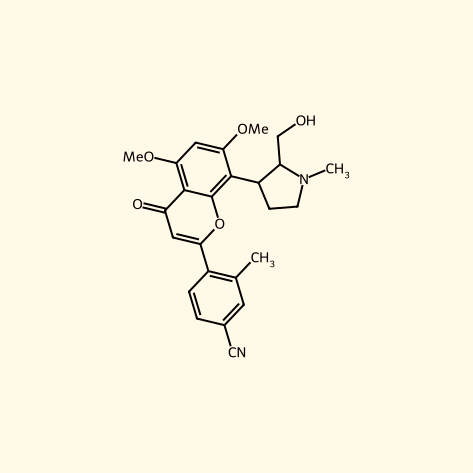 COc1cc(OC)c2c(=O)cc(-c3ccc(C#N)cc3C)oc2c1C1CCN(C)C1CO